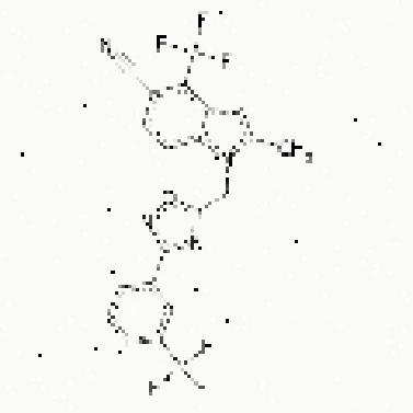 Cc1cc2c(C(F)(F)F)c(C#N)ccc2n1Cc1nc(-c2cccc(C(F)(F)F)c2)no1